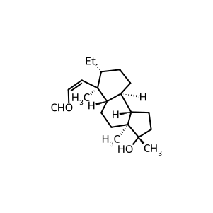 CC[C@@H]1CC[C@@H]2[C@H](CC[C@@]3(C)[C@H]2CC[C@]3(C)O)[C@@]1(C)/C=C\C=O